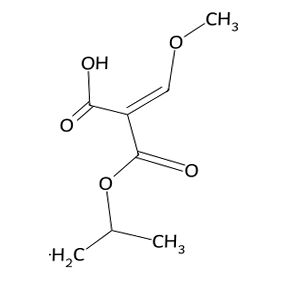 [CH2]C(C)OC(=O)C(=COC)C(=O)O